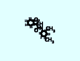 Cc1ccc(NC(=O)c2coc3ccccc23)c(C)c1